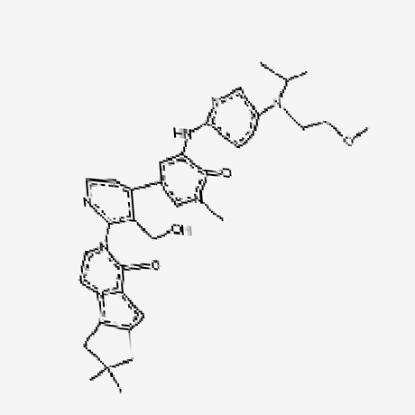 COCCN(c1ccc(Nc2cc(-c3ccnc(-n4ccn5c6c(cc5c4=O)CC(C)(C)C6)c3CO)cn(C)c2=O)nc1)C(C)C